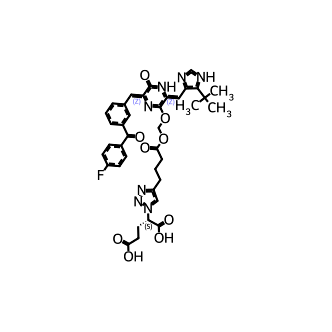 CC(C)(C)c1[nH]cnc1/C=c1\[nH]c(=O)/c(=C/c2cccc(C(=O)c3ccc(F)cc3)c2)nc1OCOC(=O)CCCc1cn([C@@H](CCC(=O)O)C(=O)O)nn1